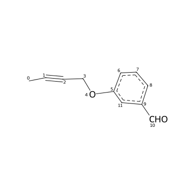 CC#CCOc1cccc(C=O)c1